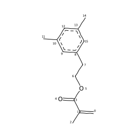 C=C(C)C(=O)OCCc1cc(C)cc(C)c1